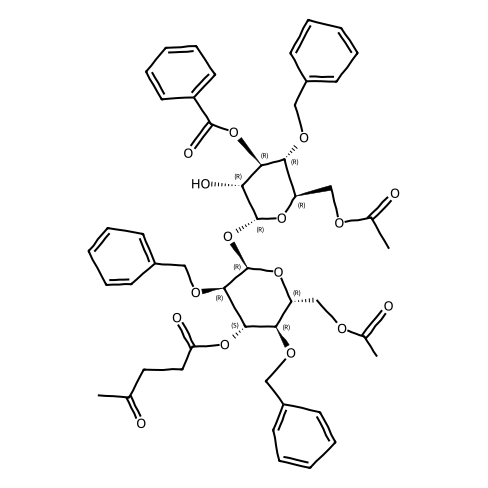 CC(=O)CCC(=O)O[C@@H]1[C@@H](OCc2ccccc2)[C@@H](O[C@H]2O[C@H](COC(C)=O)[C@@H](OCc3ccccc3)[C@H](OC(=O)c3ccccc3)[C@H]2O)O[C@H](COC(C)=O)[C@H]1OCc1ccccc1